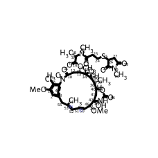 COc1cc2cc(c1Cl)N(C)C(=O)C[C@H](OC(=O)[C@H](C)N(C)C(=O)CCSC1CC(=O)N(C)C1=O)[C@]1(C)O[C@H]1[C@H](C)[C@@H]1CC(O)(NC(=O)O1)[C@H](OC)/C=C/C=C(\C)C2